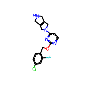 Fc1cc(Cl)ccc1COc1nccc(N2CC3=C(CNC3)C2)n1